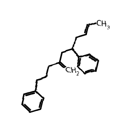 C=C(CCCc1ccccc1)CC(CC=CC)c1ccccc1